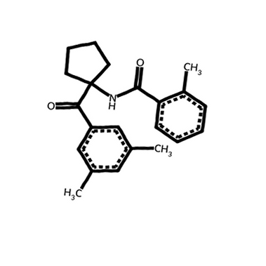 Cc1cc(C)cc(C(=O)C2(NC(=O)c3ccccc3C)CCCC2)c1